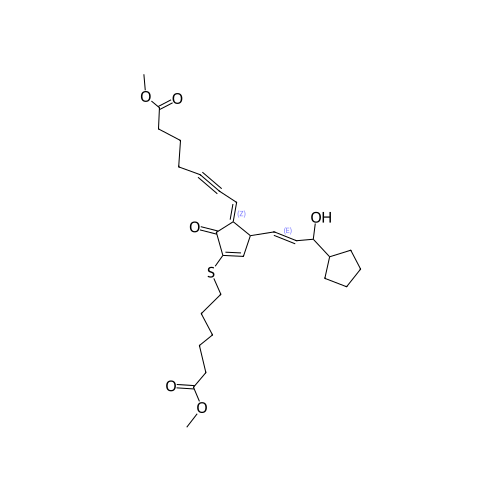 COC(=O)CCCC#C/C=C1\C(=O)C(SCCCCCC(=O)OC)=CC1/C=C/C(O)C1CCCC1